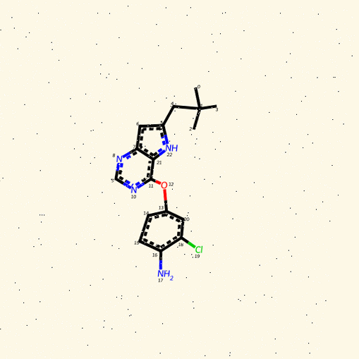 CC(C)(C)[CH]c1cc2ncnc(Oc3ccc(N)c(Cl)c3)c2[nH]1